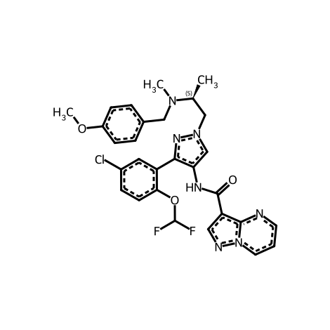 COc1ccc(CN(C)[C@@H](C)Cn2cc(NC(=O)c3cnn4cccnc34)c(-c3cc(Cl)ccc3OC(F)F)n2)cc1